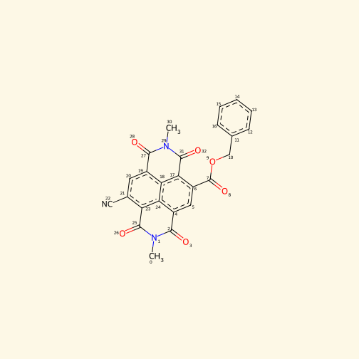 CN1C(=O)c2cc(C(=O)OCc3ccccc3)c3c4c(cc(C#N)c(c24)C1=O)C(=O)N(C)C3=O